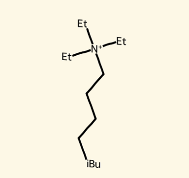 CCC(C)CCCC[N+](CC)(CC)CC